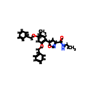 CCNC(=O)c1cc(-c2cc(C)c(OCc3ccccc3)cc2OCc2ccccc2)on1